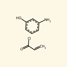 C=CC(=O)Cl.Nc1cccc(O)c1